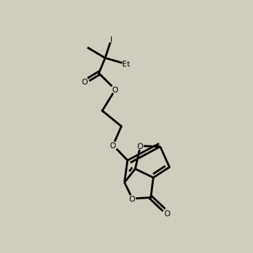 CCC(C)(I)C(=O)OCCOc1c2c3oc1cc3C(=O)O2